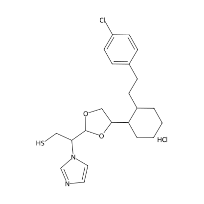 Cl.SCC(C1OCC(C2CCCCC2CCc2ccc(Cl)cc2)O1)n1ccnc1